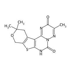 Cc1nn2c(=O)[nH]c3sc4c(c3c2nc1=O)CC(C)(C)OC4